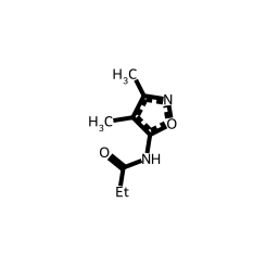 CCC(=O)Nc1onc(C)c1C